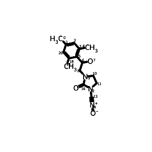 Cc1cc(C)c(C([O])CN2CCN(C#[N+][O-])C2=O)c(C)c1